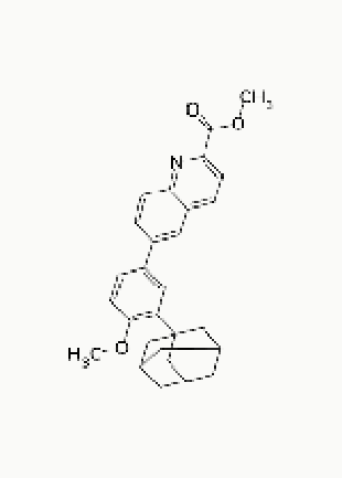 COC(=O)c1ccc2cc(-c3ccc(OC)c(C45CC6CC(CC(C6)C4)C5)c3)ccc2n1